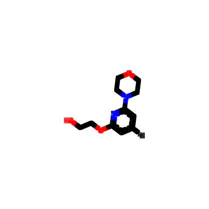 [2H]c1cc(OCCO)nc(N2CCOCC2)c1